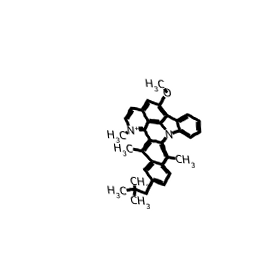 COc1cc2cc[n+](C)c3c4c(C)c5cc(CC(C)(C)C)ccc5c(C)c4n4c5ccccc5c1c4c23